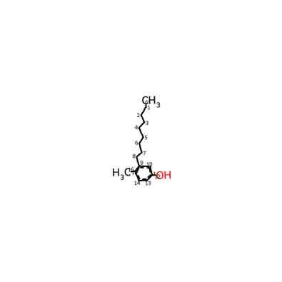 CCCCCCCCCc1cc(O)ccc1C